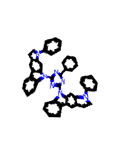 c1ccc(-c2nc(-n3c4ccccc4c4cc5ccn(-c6ccccc6)c5cc43)nc(-n3c4ccccc4c4cc5ccn(-c6ccccc6)c5cc43)n2)cc1